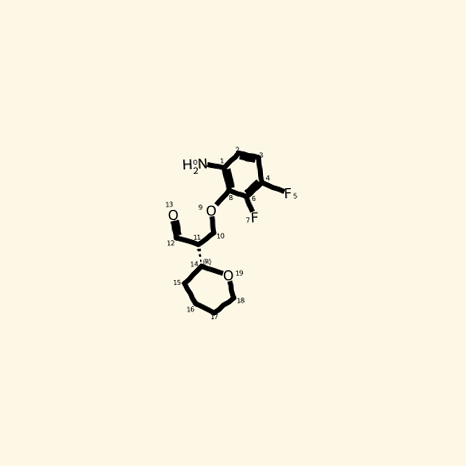 Nc1ccc(F)c(F)c1OCC(C=O)[C@H]1CCCCO1